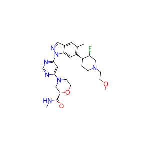 CNC(=O)[C@H]1CN(c2cc(-n3ncc4cc(C)c([C@@H]5CCN(CCOC)C[C@@H]5F)cc43)ncn2)CCO1